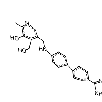 Cc1ncc(CNc2ccc(-c3ccc(C(=N)N)cc3)cc2)c(CO)c1O